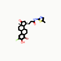 Cc1cnc(NC(=O)CC[C@@H]2CC(=O)[C@@]3(C)CCC4c5cc(F)c(O)c(Br)c5CCC4C23)s1